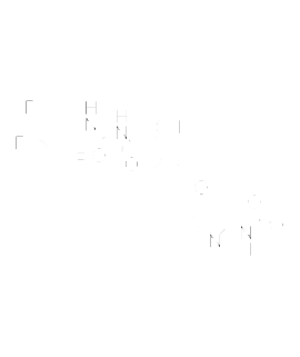 C[C@H]1c2cc(Oc3ccnc4c3COC(=O)N4)ccc2O[C@H]1NC(=O)Nc1cc(F)c(F)cc1F